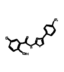 O=C(Nc1nc(-c2ccc(C(F)(F)F)cc2)cs1)c1cc(Cl)ccc1O